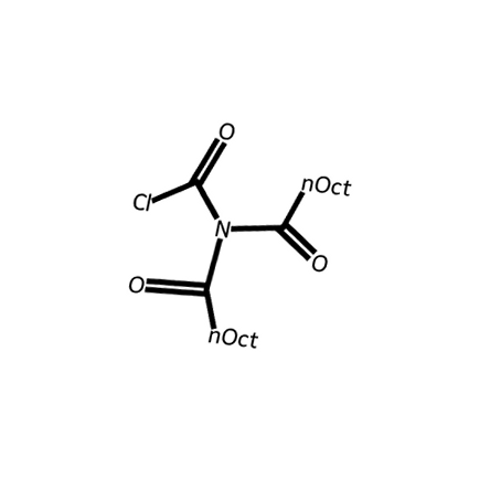 CCCCCCCCC(=O)N(C(=O)Cl)C(=O)CCCCCCCC